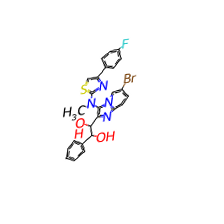 CN(c1nc(-c2ccc(F)cc2)cs1)c1c(C(O)C(O)c2ccccc2)nc2ccc(Br)cn12